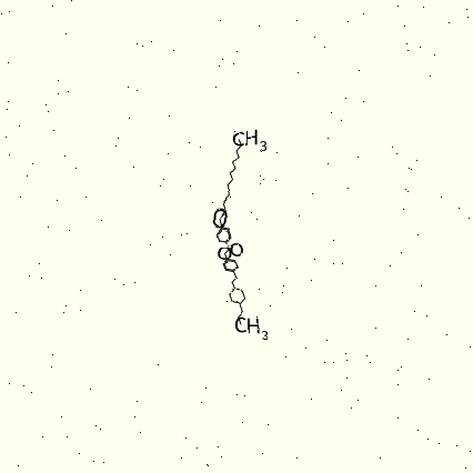 CCCCCCCCCCCCOc1ccc(C(=O)Oc2ccc(CCC3CCC(CCC)CC3)cc2)cc1